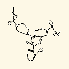 CCOC(=O)N1CCN(c2nc(-c3ccccc3Cl)nc3cc(C(=O)O)ccc23)CC1